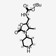 CC1C(CNC(=O)OC(C)(C)C)OC(=O)N1C1CCNCC1